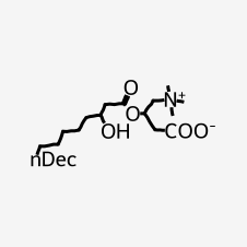 CCCCCCCCCCCCCCCC(O)CC(=O)OC(CC(=O)[O-])C[N+](C)(C)C